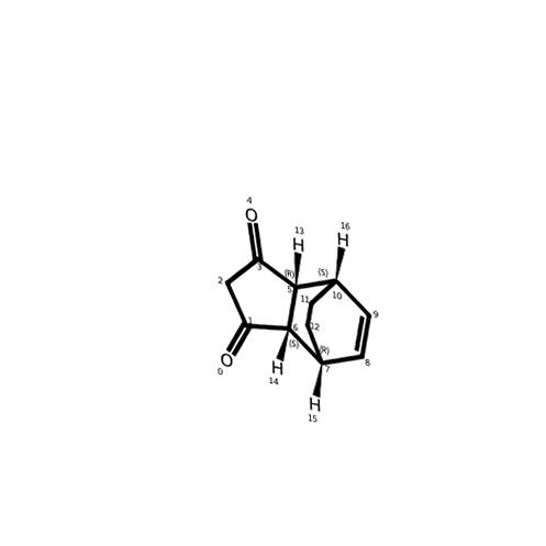 O=C1CC(=O)[C@H]2[C@@H]1[C@H]1C=C[C@@H]2CC1